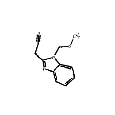 COCn1c(CC#N)nc2ccccc21